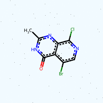 Cc1nc2c(Cl)ncc(Br)c2c(=O)[nH]1